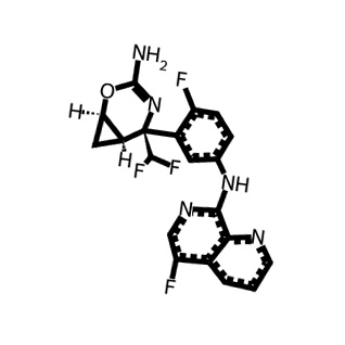 NC1=N[C@@](c2cc(Nc3ncc(F)c4cccnc34)ccc2F)(C(F)F)[C@H]2C[C@H]2O1